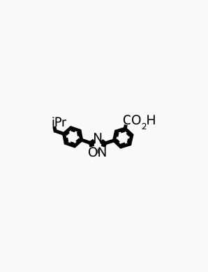 CC(C)Cc1ccc(-c2nc(-c3cccc(C(=O)O)c3)no2)cc1